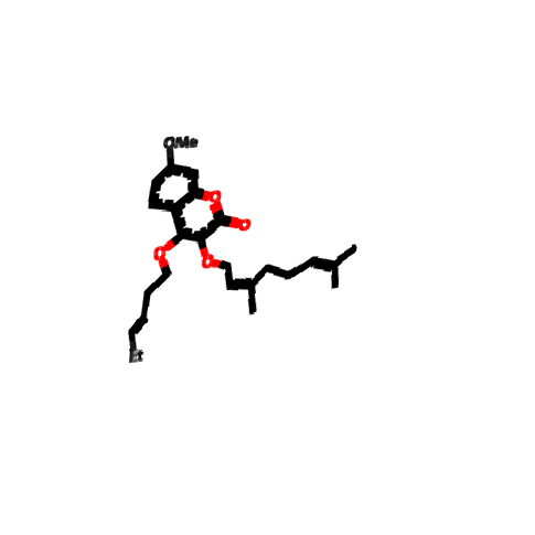 CCC=CCCOc1c(OCC=C(C)CCC=C(C)C)c(=O)oc2cc(OC)ccc12